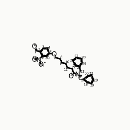 O=Cc1ccc(OCCCCCCC(=O)N(Cc2ccccc2)Cc2ccccc2)cc1[N+](=O)[O-]